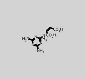 Nc1nc(N)nc(N)n1.O=C(O)/C=C\C(=O)O